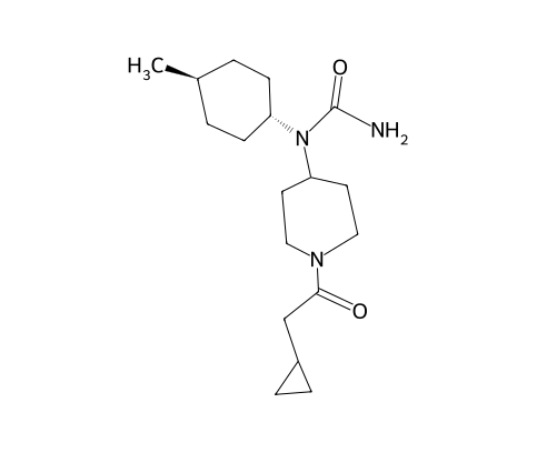 C[C@H]1CC[C@H](N(C(N)=O)C2CCN(C(=O)CC3CC3)CC2)CC1